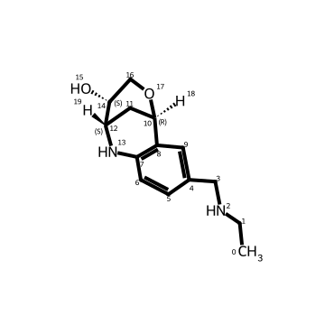 CCNCc1ccc2c(c1)[C@H]1C[C@H](N2)[C@H](O)CO1